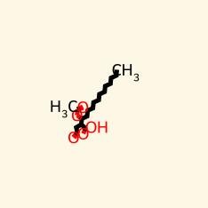 CCCCCCCCCCCCC(OC(C)=O)C1CC(=O)OC1O